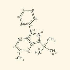 Cc1cnc2c(c1)c(C(C)(C)C)nn2-c1ccccc1